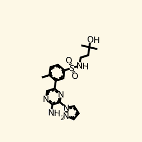 Cc1ccc(S(=O)(=O)NCCC(C)(C)O)cc1-c1cnc(N)c(-n2cccn2)n1